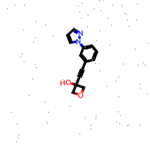 OC1(C#Cc2cccc(-n3cccn3)c2)COC1